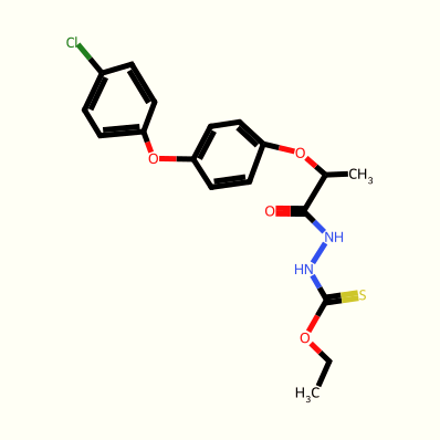 CCOC(=S)NNC(=O)C(C)Oc1ccc(Oc2ccc(Cl)cc2)cc1